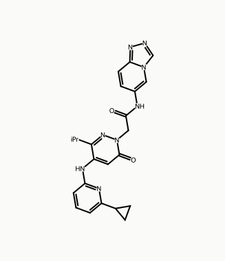 CC(C)c1nn(CC(=O)Nc2ccc3nncn3c2)c(=O)cc1Nc1cccc(C2CC2)n1